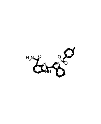 Cc1ccc(S(=O)(=O)n2cc(-c3nc4c(C(N)=O)cccc4[nH]3)c3ccccc32)cc1